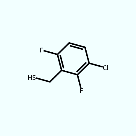 Fc1ccc(Cl)c(F)c1CS